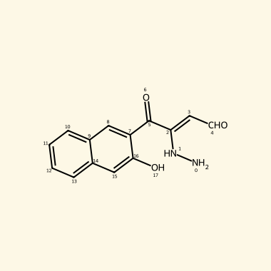 NNC(=CC=O)C(=O)c1cc2ccccc2cc1O